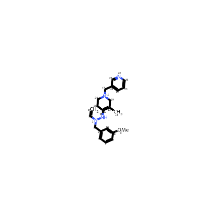 C=CN(Cc1cccc(OC)c1)NC1=C(C)CN(Cc2cccnc2)CC1